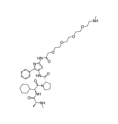 CNCCOCCOCCOCCOCC(=O)Nc1nc(-c2ccccc2)c(NC(=O)[C@@H]2CCCN2C(=O)[C@@H](NC(=O)[C@H](C)NC)C2CCCCC2)s1